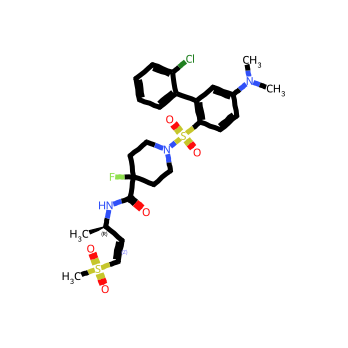 C[C@H](/C=C\S(C)(=O)=O)NC(=O)C1(F)CCN(S(=O)(=O)c2ccc(N(C)C)cc2-c2ccccc2Cl)CC1